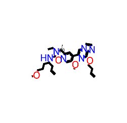 C=CCCOc1nc(-c2cc([C@@H](C)N(CC)C(=O)NC(CC=C)CCCOC)ncc2OC)cn2ccnc12